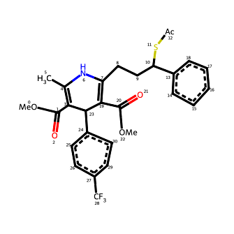 COC(=O)C1=C(C)NC(CCC(SC(C)=O)c2ccccc2)=C(C(=O)OC)C1c1ccc(C(F)(F)F)cc1